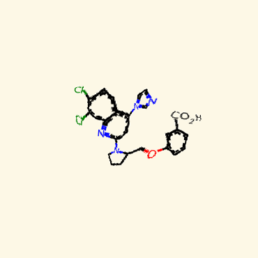 O=C(O)c1cccc(OCC2CCCN2c2cc(-n3ccnc3)c3ccc(Cl)c(Cl)c3n2)c1